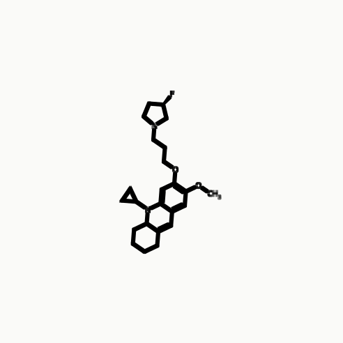 COc1cc2c(cc1OCCCN1CC[C@@H](F)C1)N(C1CC1)C1CCCCC1=C2